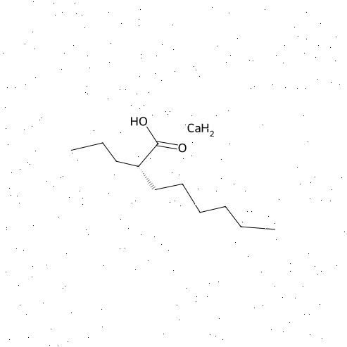 CCCCCC[C@H](CCC)C(=O)O.[CaH2]